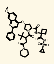 COc1ccc2c(O[C@@H]3C[C@@H](C(=O)NC4(C(=O)NS(=O)(=O)C5CC5)CCC4)N(C(=O)C(CC(=O)N4CCCCC4)C(C)(C)C)C3)cc(-c3ccccc3)nc2c1